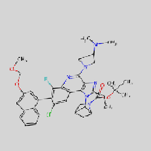 CCc1nc2c(N3CC(N(C)C)C3)nc3c(F)c(-c4cc(OCOC)cc5ccccc45)c(Cl)cc3c2n1C1C2CC1N(C(=O)OC(C)(C)C)C2